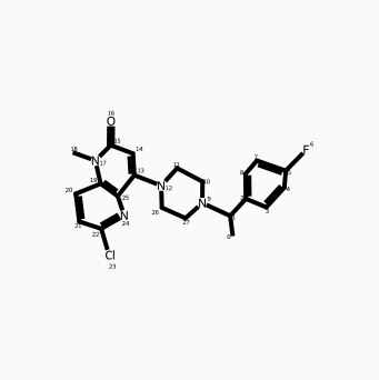 CC(c1ccc(F)cc1)N1CCN(c2cc(=O)n(C)c3ccc(Cl)nc23)CC1